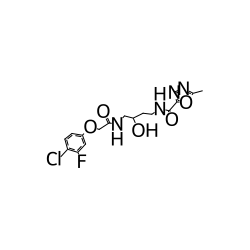 Cc1nnc(C(=O)NCCC(O)CNC(=O)COc2ccc(Cl)c(F)c2)o1